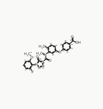 COc1cccc(F)c1-n1nnn(C(=O)N(C)c2cc(Oc3ccc(C(=O)O)cc3)ccc2C)c1=O